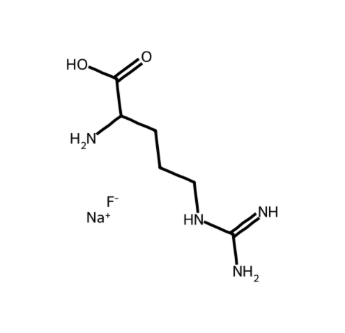 N=C(N)NCCCC(N)C(=O)O.[F-].[Na+]